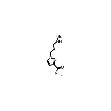 CC(C)(C)NCCCn1ccc(C(N)=O)n1